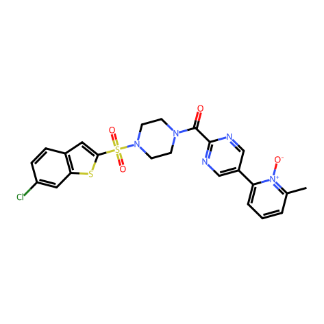 Cc1cccc(-c2cnc(C(=O)N3CCN(S(=O)(=O)c4cc5ccc(Cl)cc5s4)CC3)nc2)[n+]1[O-]